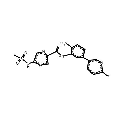 CS(=O)(=O)Nc1cnc(C(=O)Nc2cc(-c3ccc(F)nc3)ccc2N)cn1